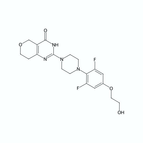 O=c1[nH]c(N2CCN(c3c(F)cc(OCCO)cc3F)CC2)nc2c1COCC2